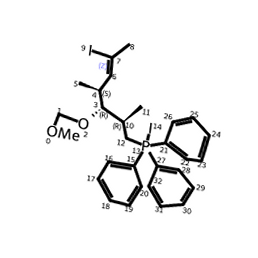 COCO[C@H]([C@@H](C)/C=C(/C)I)[C@@H](C)CP(I)(c1ccccc1)(c1ccccc1)c1ccccc1